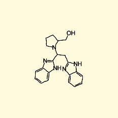 OCC1CCCN1C(Cc1nc2ccccc2[nH]1)c1nc2ccccc2[nH]1